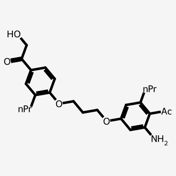 CCCc1cc(C(=O)CO)ccc1OCCCOc1cc(N)c(C(C)=O)c(CCC)c1